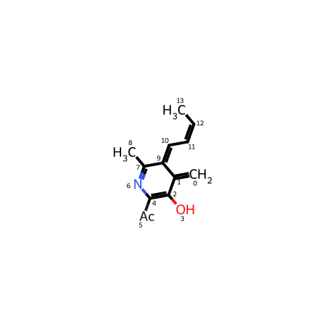 C=c1c(O)c(C(C)=O)nc(C)/c1=C/C=C\C